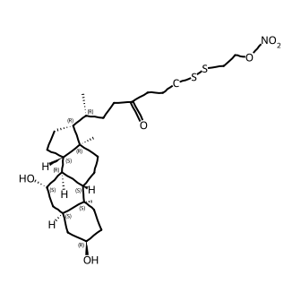 C[C@H](CCC(=O)CCCSSCCO[N+](=O)[O-])[C@H]1CC[C@H]2[C@@H]3[C@@H](O)C[C@@H]4C[C@H](O)CC[C@]4(C)[C@H]3CC[C@]12C